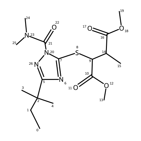 CCC(C)(C)c1nc(SC(C(=O)OC)C(C)C(=O)OC)n(C(=O)N(C)C)n1